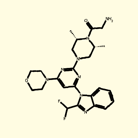 C[C@@H]1CN(c2nc(N3CCOCC3)cc(-n3c(C(F)F)nc4ccccc43)n2)C[C@H](C)N1C(=O)CN